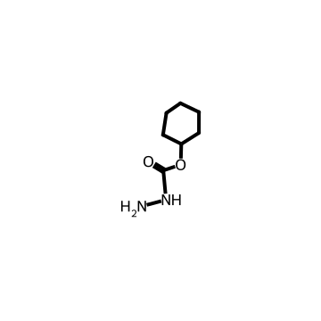 NNC(=O)OC1CCCCC1